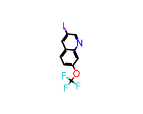 FC(F)(F)Oc1ccc2cc(I)cnc2c1